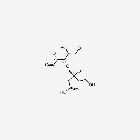 C[C@@](O)(CCO)CC(=O)O.O=C[C@H](O)[C@@H](O)[C@@H](O)CO